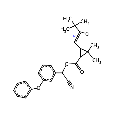 CC(C)(C)/C(Cl)=C/C1C(C(=O)OC(C#N)c2cccc(Oc3ccccc3)c2)C1(C)C